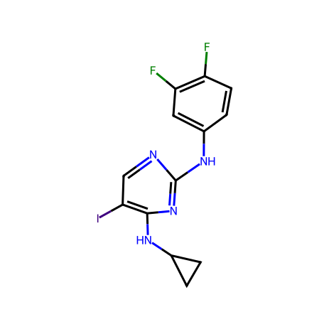 Fc1ccc(Nc2ncc(I)c(NC3CC3)n2)cc1F